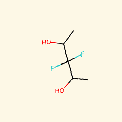 CC(O)C(F)(F)C(C)O